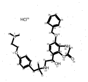 CN(C)CCOc1ccc(CC(C)(C)NCC(O)c2ccc(OCc3ccccc3)c3c2OC(=O)CN3)cc1.Cl